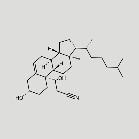 CC(C)CCC[C@@H](C)[C@H]1CC[C@H]2[C@@H]3CC=C4C[C@@H](O)CC[C@]4(C(O)CC#N)[C@H]3CC[C@]12C